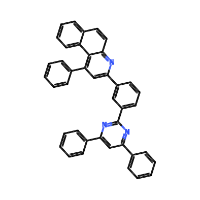 c1ccc(-c2cc(-c3ccccc3)nc(-c3cccc(-c4cc(-c5ccccc5)c5c(ccc6ccccc65)n4)c3)n2)cc1